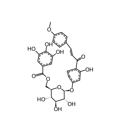 COc1ccc(C=CC(=O)c2ccc(O[C@@H]3O[C@H](COC(=O)c4cc(O)c(O)c(O)c4)[C@@H](O)[C@H](O)[C@H]3O)cc2O)cc1